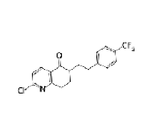 O=C1c2ccc(Cl)nc2CCC1CCc1ccc(C(F)(F)F)cc1